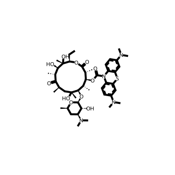 CC[C@H]1OC(=O)[C@H](C)[C@@H](OC(=O)N2c3ccc(N(C)C)cc3Sc3cc(N(C)C)ccc32)[C@H](C)[C@@H](O[C@@H]2O[C@H](C)C[C@H](N(C)C)[C@H]2O)[C@](C)(O)C[C@@H](C)C(=O)[C@H](C)[C@@H](O)[C@]1(C)O